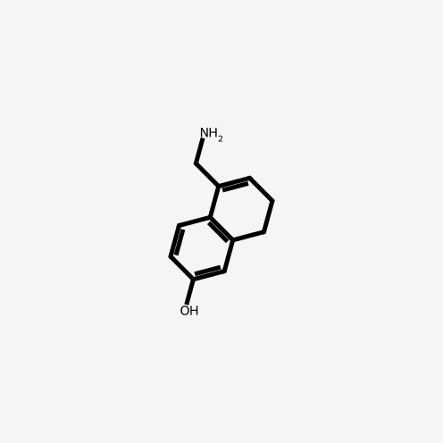 NCC1=CCCc2cc(O)ccc21